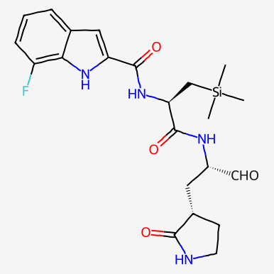 C[Si](C)(C)C[C@H](NC(=O)c1cc2cccc(F)c2[nH]1)C(=O)N[C@H](C=O)C[C@@H]1CCNC1=O